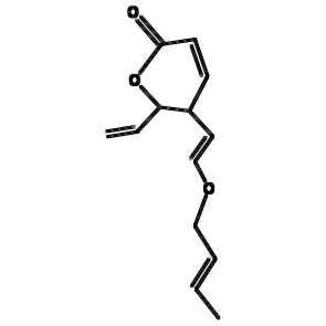 C=CC1OC(=O)C=CC1/C=C/OC/C=C/C